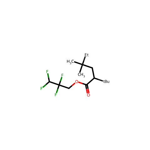 CCC(C)(C)CC(C(=O)OCC(F)(F)C(F)F)C(C)(C)C